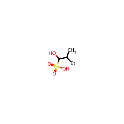 CCC(C)C(O)S(=O)(=O)O